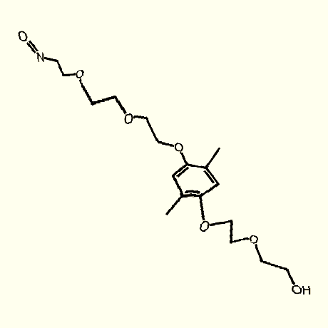 Cc1cc(OCCOCCOCCN=O)c(C)cc1OCCOCCO